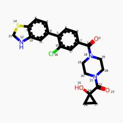 O=C(c1ccc(-c2ccc3c(c2)NCS3)c(Cl)c1)N1CCN(C(=O)C2(O)CC2)CC1